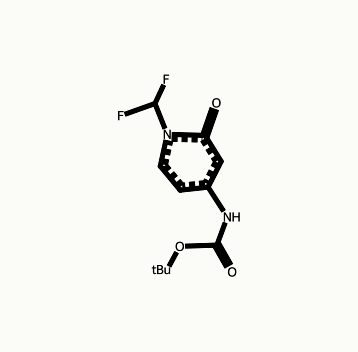 CC(C)(C)OC(=O)Nc1ccn(C(F)F)c(=O)c1